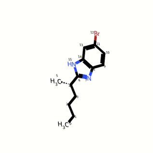 CCCC[C@H](C)c1nc2ccc(Br)cc2[nH]1